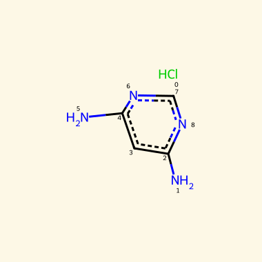 Cl.Nc1cc(N)ncn1